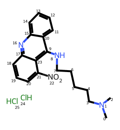 CN(C)CCCCCNc1c2ccccc2nc2cccc([N+](=O)[O-])c12.Cl.Cl